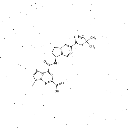 CC(C)(C)OC(=O)c1ccc2c(c1)CC[C@@H]2NC(=O)c1cc(C(=O)O)nc2c(F)cnn12